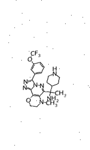 CN1CCOc2c1c(C(C)(N)C1CCNCC1)nn1c(-c3cccc(OC(F)(F)F)c3)nnc21